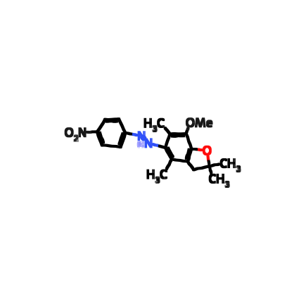 COc1c(C)c(/N=N/c2ccc([N+](=O)[O-])cc2)c(C)c2c1OC(C)(C)C2